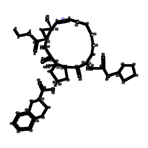 CCOC(=O)[C@@]12C[C@H]1/C=C\CCCCC[C@H](NC(=O)OC1CCCC1)C(=O)N1C[C@H](OC(=O)N3CCc4ccccc4C3)C[C@H]1C(=O)N2